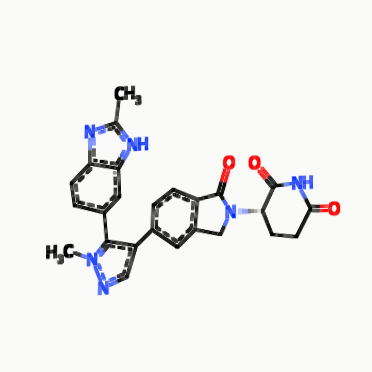 Cc1nc2ccc(-c3c(-c4ccc5c(c4)CN([C@H]4CCC(=O)NC4=O)C5=O)cnn3C)cc2[nH]1